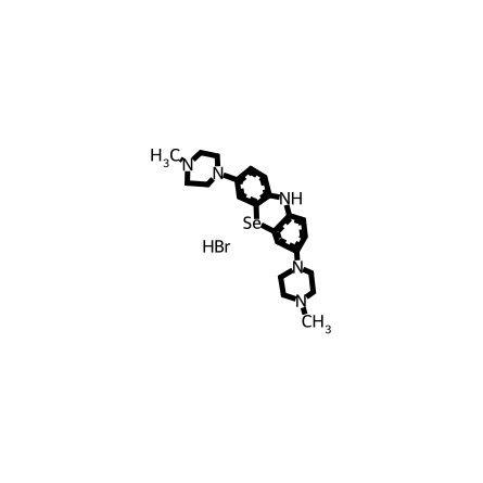 Br.CN1CCN(c2ccc3c(c2)[Se]c2cc(N4CCN(C)CC4)ccc2N3)CC1